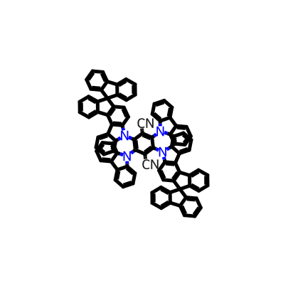 N#Cc1c(-n2c3ccccc3c3ccccc32)c(-n2c3ccccc3c3c4c(ccc32)C2(c3ccccc3-c3ccccc32)c2ccccc2-4)c(C#N)c(-n2c3ccccc3c3ccccc32)c1-n1c2ccccc2c2c3c(ccc21)C1(c2ccccc2-c2ccccc21)c1ccccc1-3